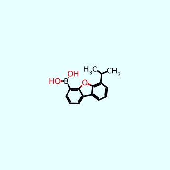 CC(C)c1cccc2c1oc1c(B(O)O)cccc12